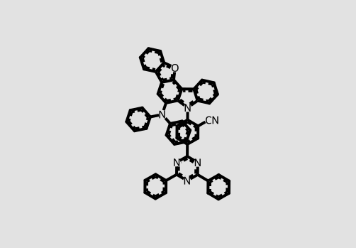 N#Cc1cc(-c2nc(-c3ccccc3)nc(-c3ccccc3)n2)ccc1-n1c2ccccc2c2c3oc4ccccc4c3cc(N(c3ccccc3)c3ccccc3)c21